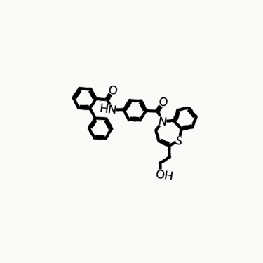 O=C(Nc1ccc(C(=O)N2CC=C(CCO)Sc3ccccc32)cc1)c1ccccc1-c1ccccc1